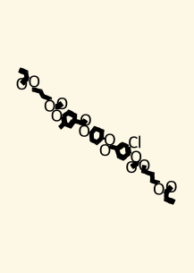 C=CC(=O)OCCCCOC(=O)Oc1ccc(C(=O)O[C@H]2CC[C@H](OC(=O)c3ccc(OC(=O)OCCCCOC(=O)C=C)c(Cl)c3)CC2)cc1C